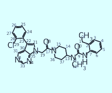 CCc1ccccc1NC(=O)N(C)C1CCN(C(=O)Cn2cc(-c3ccccc3Cl)c3cncnc32)CC1